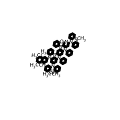 C[SiH]1c2ccccc2N(c2cc3c4c(n2)Oc2ccccc2B4c2cc4c(cc2N3c2ccccc2)N(c2ccccc2)c2cc(N3c5ccccc5[Si](C)(C)c5ccccc53)cc3c2B4c2ccccc2N3c2ccc3c(c2)C(C)(C)CCC3(C)C)c2ccccc21